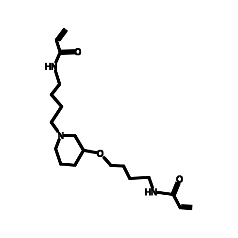 C=CC(=O)NCCCCOC1CCCN(CCCCNC(=O)C=C)C1